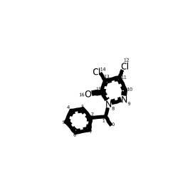 CC(c1ccccc1)n1ncc(Cl)c(Cl)c1=O